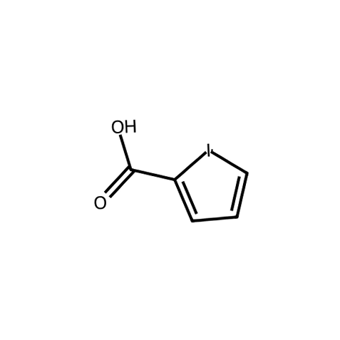 O=C(O)C1=CC=C[I]1